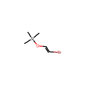 C[Si](C)(C)O/C=C/Br